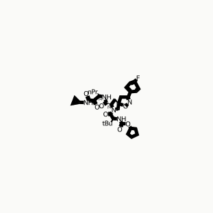 CCC[C@H](NC(=O)[C@@H]1C[C@]2(CC(c3ccc(F)cc3)=NO2)CN1C(=O)[C@@H](NC(=O)OC1CCCC1)C(C)(C)C)C(=O)C(=O)NC1CC1